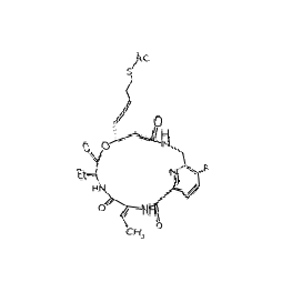 C/C=C1\NC(=O)c2ccc(F)c(n2)CNC(=O)C[C@@H](/C=C/CCSC(C)=O)OC(=O)[C@H](CC)NC1=O